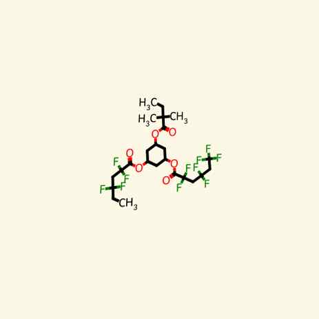 CCC(F)(F)CC(F)(F)C(=O)OC1CC(OC(=O)C(C)(C)CC)CC(OC(=O)C(F)(F)CC(F)(F)CC(F)(F)F)C1